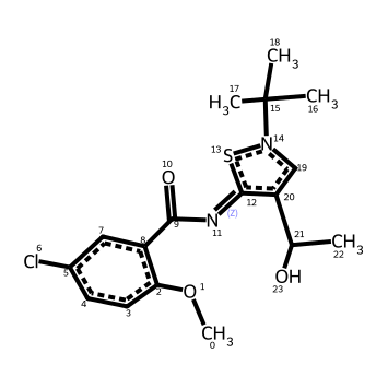 COc1ccc(Cl)cc1C(=O)/N=c1\sn(C(C)(C)C)cc1C(C)O